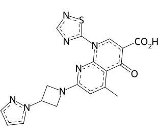 Cc1cc(N2CC(n3cccn3)C2)nc2c1c(=O)c(C(=O)O)cn2-c1ncns1